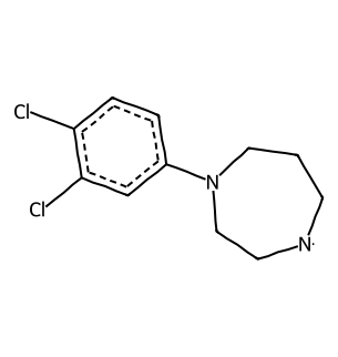 Clc1ccc(N2CCC[N]CC2)cc1Cl